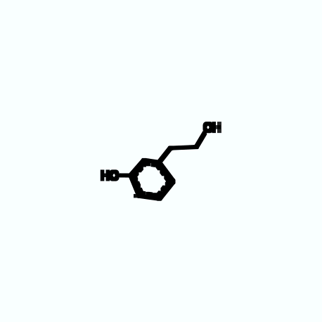 OCCc1cc[c]c(O)c1